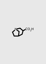 O=C(O)C1CC2CCN(C2)C1